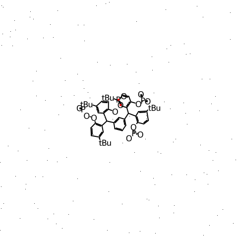 CC(C)(C)c1ccc(OOP=O)c(C(c2cccc(C(c3cc(C(C)(C)C)ccc3OP(=O)=O)c3cc(C(C)(C)C)ccc3OP(=O)=O)c2)c2cc(C(C)(C)C)ccc2OOP=O)c1